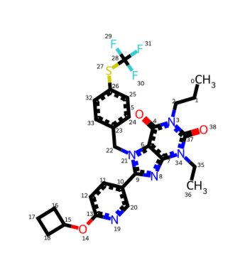 CCCn1c(=O)c2c(nc(-c3ccc(OC4CCC4)nc3)n2Cc2ccc(SC(F)(F)F)cc2)n(CC)c1=O